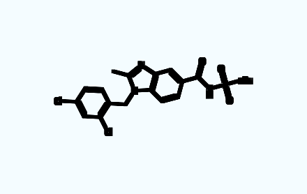 CCCCS(=O)(=O)NC(=O)c1ccc2c(c1)nc(C)n2Cc1ccc(Cl)cc1Cl